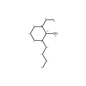 CCCCC1CCCC(CC)C1O